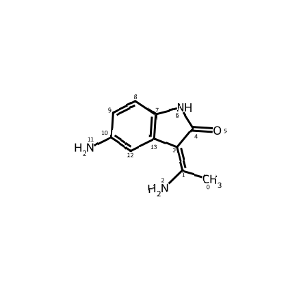 CC(N)=C1C(=O)Nc2ccc(N)cc21